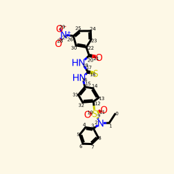 CCN(c1ccccc1)S(=O)(=O)c1ccc(NC(=S)NC(=O)c2cccc([N+](=O)[O-])c2)cc1